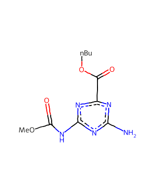 CCCCOC(=O)c1nc(N)nc(NC(=O)OC)n1